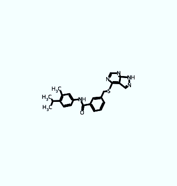 Cc1cc(NC(=O)c2cccc(CSc3ncnc4[nH]ncc34)c2)ccc1C(C)C